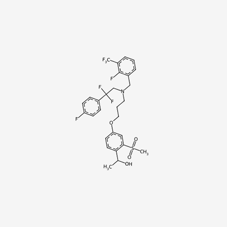 CC(O)c1ccc(OCCCN(Cc2cccc(C(F)(F)F)c2F)CC(F)(F)c2ccc(F)cc2)cc1S(C)(=O)=O